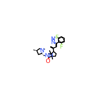 C=C(/C=C(\N=N/C)c1c(F)cccc1F)C1CCC(C)(C(=O)NC[C@@H]2C[C@@H](C)CN2C)C1(C)C